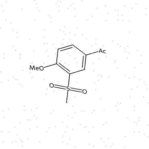 COc1ccc(C(C)=O)cc1S(C)(=O)=O